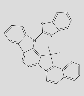 CC1(C)c2c(ccc3ccccc23)-c2ccc3c4ccccc4n(-c4nc5ccccc5s4)c3c21